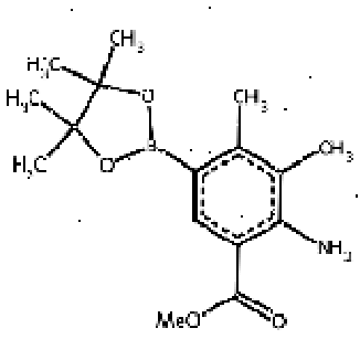 COC(=O)c1cc(B2OC(C)(C)C(C)(C)O2)c(C)c(C)c1N